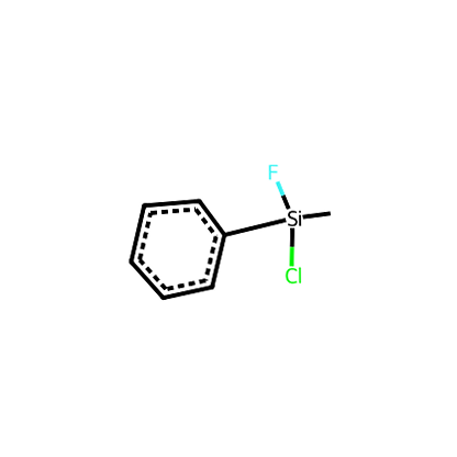 C[Si](F)(Cl)c1ccccc1